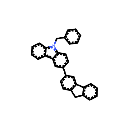 c1ccc(Cn2c3ccccc3c3cc(-c4ccc5c(c4)-c4ccccc4C5)ccc32)cc1